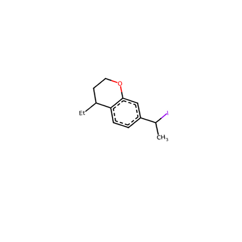 CCC1CCOc2cc(C(C)I)ccc21